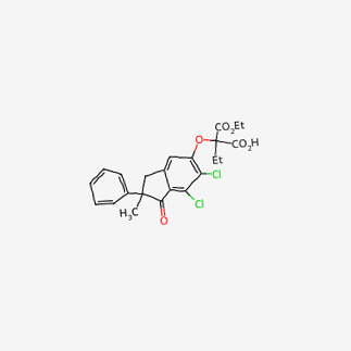 CCOC(=O)C(CC)(Oc1cc2c(c(Cl)c1Cl)C(=O)C(C)(c1ccccc1)C2)C(=O)O